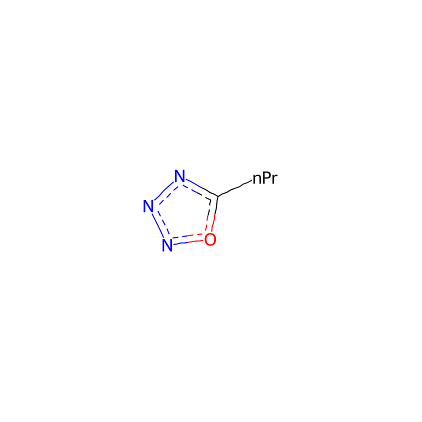 CCCc1nnno1